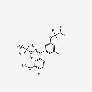 COc1cc(/C(=N\[S@+]([O-])C(C)(C)C)c2cc(F)cc(OC(F)(F)C(F)F)c2)ccc1F